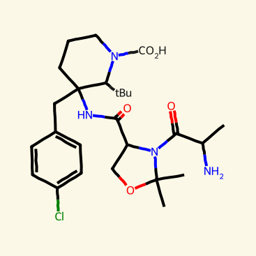 CC(N)C(=O)N1C(C(=O)NC2(Cc3ccc(Cl)cc3)CCCN(C(=O)O)C2C(C)(C)C)COC1(C)C